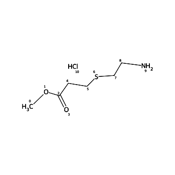 COC(=O)CCSCCN.Cl